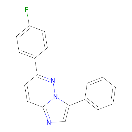 Fc1ccc(-c2ccc3ncc(-c4c[c]ccc4)n3n2)cc1